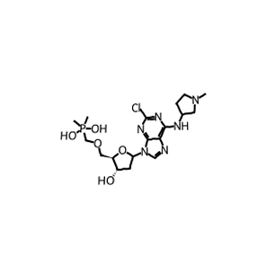 CN1CCC(Nc2nc(Cl)nc3c2ncn3C2C[C@H](O)[C@@H](COCP(C)(C)(O)O)O2)C1